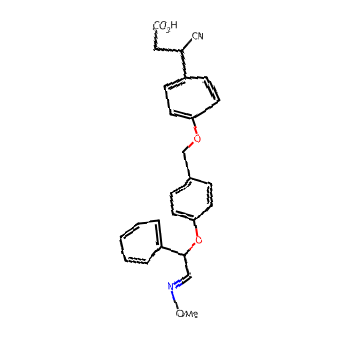 CON=CC(Oc1ccc(COc2ccc(C(C#N)CC(=O)O)cc2)cc1)c1ccccc1